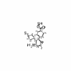 Cc1nc(N)c(-c2ccc(F)cc2)c(-c2ccc(C(=O)OS)cc2)n1